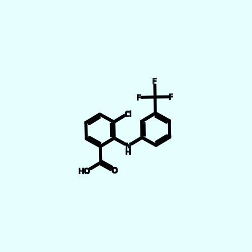 O=C(O)c1cccc(Cl)c1Nc1cccc(C(F)(F)F)c1